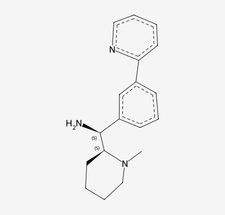 CN1CCCC[C@H]1[C@@H](N)c1cccc(-c2ccccn2)c1